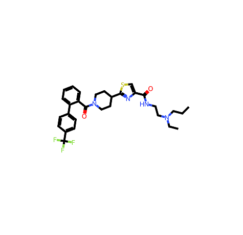 CCCN(CC)CCNC(=O)c1csc(C2CCN(C(=O)c3ccccc3-c3ccc(C(F)(F)F)cc3)CC2)n1